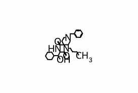 CCCCN1C(=O)C(C(O)C2CCCCC2)NC(=O)C12CCN(Cc1ccccc1)CC2